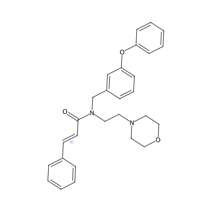 O=C(/C=C/c1ccccc1)N(CCN1CCOCC1)Cc1cccc(Oc2ccccc2)c1